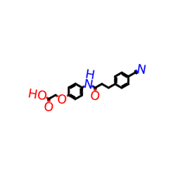 N#Cc1ccc(CCC(=O)Nc2ccc(OCC(=O)O)cc2)cc1